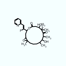 CC1CCCC2(C)OC2CC(C(F)=Cc2ccccn2)OC(=O)CC(O)C(C)(C)C(=O)C(C)C1O